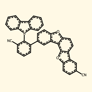 N#Cc1ccc2oc3c(ccc4oc5ccc(-c6cccc(C#N)c6-n6c7ccccc7c7ccccc76)cc5c43)c2c1